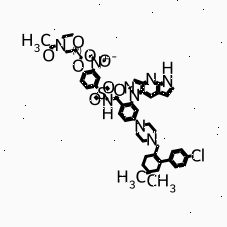 CC(=O)N1CCO[C@@H](COc2ccc(S(=O)(=O)NC(=O)c3ccc(N4CCN(CC5=C(c6ccc(Cl)cc6)CC(C)(C)CC5)CC4)cc3-n3ncc4nc5[nH]ccc5cc43)cc2[N+](=O)[O-])C1